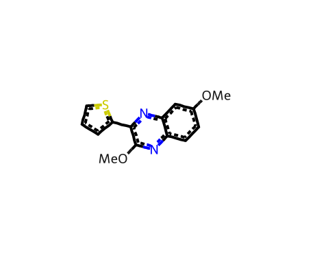 COc1ccc2nc(OC)c(-c3cccs3)nc2c1